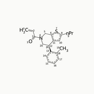 C=CC(=O)N1Cc2sc(CCC)cc2[C@@H](c2ccccc2C)C1